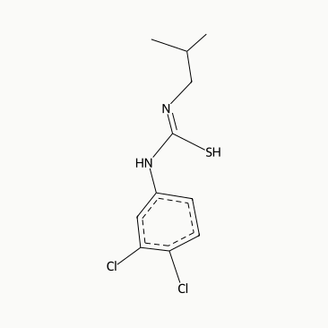 CC(C)C/N=C(\S)Nc1ccc(Cl)c(Cl)c1